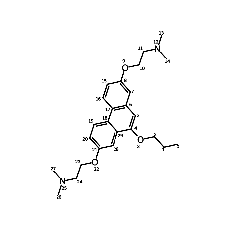 CCCOc1cc2cc(OCCN(C)C)ccc2c2ccc(OCCN(C)C)cc12